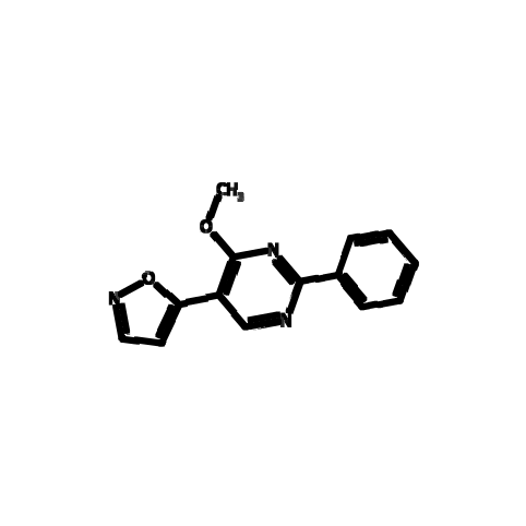 COc1nc(-c2ccccc2)ncc1-c1ccno1